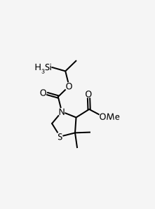 COC(=O)C1N(C(=O)OC(C)[SiH3])CSC1(C)C